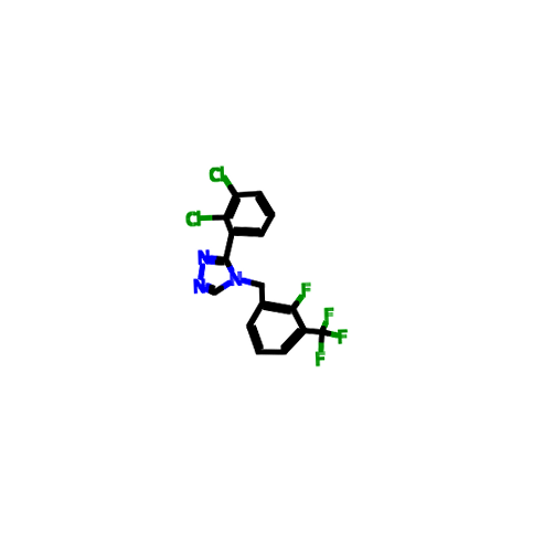 Fc1c(Cn2cnnc2-c2cccc(Cl)c2Cl)cccc1C(F)(F)F